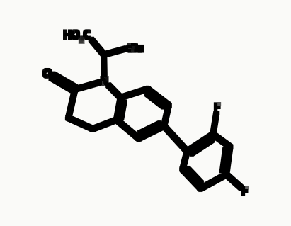 CC(C)(C)C(C(=O)O)N1C(=O)CCc2cc(-c3ccc(F)cc3F)ccc21